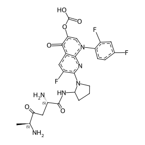 C[C@H](N)C(=O)C[C@H](N)C(=O)NC1CCCN1c1nc2c(cc1F)c(=O)c(OC(=O)O)cn2-c1ccc(F)cc1F